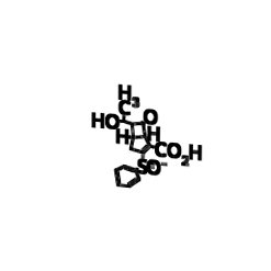 CC(O)C1C(=O)[C@H]2C(C(=O)O)=C([S+]([O-])c3ccccc3)C[C@H]12